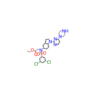 CCOC(=O)CN(c1ccc2c(ccn2-c2nccc(N3CCNCC3)n2)c1)S(=O)(=O)c1cc(Cl)cc(Cl)c1